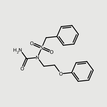 NC(=O)N(CCOc1ccccc1)S(=O)(=O)Cc1ccccc1